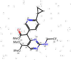 COC(=O)C(c1ccc(C2CC2)nc1)c1nc(NCC(F)(F)F)ncc1C(OC)OC